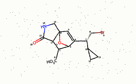 O=C(O)C1C2OC3(C=C2[C@H](CBr)C2CC2)CNC(=O)C13